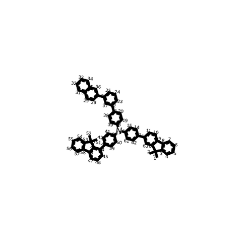 CC1(C)c2ccccc2-c2ccc(-c3ccc(N(c4ccc(-c5cccc(-c6ccc7ccccc7c6)c5)cc4)c4ccc(-c5cccc6c5C(C)(C)c5ccccc5-6)cc4)cc3)cc21